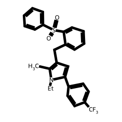 CCn1c(-c2ccc(C(F)(F)F)cc2)cc(Cc2ccccc2S(=O)(=O)c2ccccc2)c1C